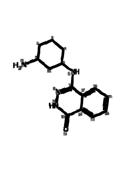 NC1CCCC(Nc2n[nH]c(=O)c3ccccc23)C1